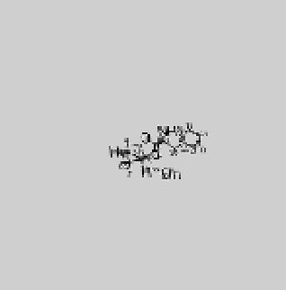 CC1(C)[C@@H]2CC3OB([C@@H](N)Cc4ccccc4)O[C@@]3(C)[C@H]1C2.Cl